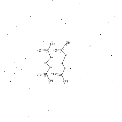 O=C(O)CCCC(=O)O.O=C(O)CCCC(=O)O